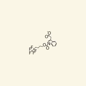 COC(=O)Cc1cn(C(=O)OCCCCC(F)(F)C(F)(F)F)c2ccccc12